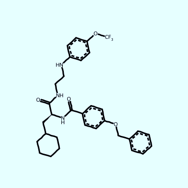 O=C(N[C@@H](CC1CCCCC1)C(=O)NCCNc1ccc(OC(F)(F)F)cc1)c1ccc(OCc2ccccc2)cc1